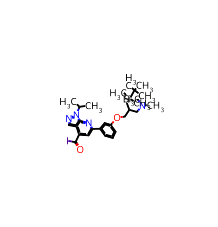 CC(C)n1ncc2c(C(=O)I)cc(-c3cccc(OCC(CN(C)C)C[Si](C)(C)C(C)(C)C)c3)nc21